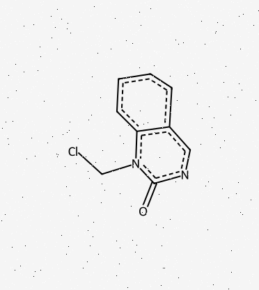 O=c1ncc2ccccc2n1CCl